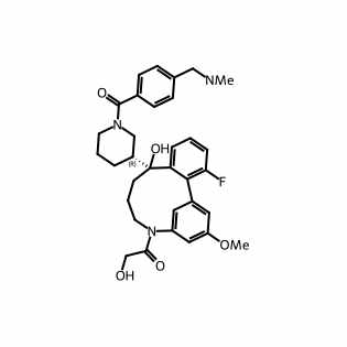 CNCc1ccc(C(=O)N2CCC[C@@H](C3(O)CCCN(C(=O)CO)c4cc(OC)cc(c4)-c4c(F)cccc43)C2)cc1